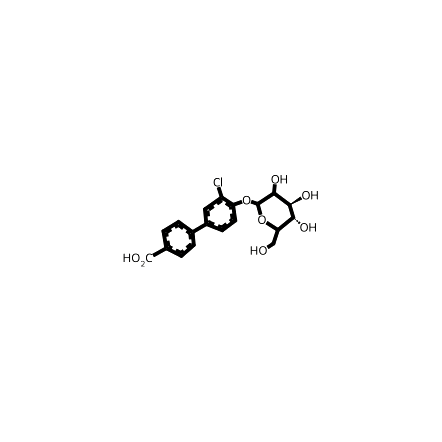 O=C(O)c1ccc(-c2ccc(OC3OC(CO)[C@@H](O)[C@H](O)C3O)c(Cl)c2)cc1